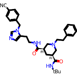 CC(C)(C)NC(=O)[C@H]1C[C@@H](C(=O)NCCc2cncn2Cc2ccc(C#N)cc2)CN(CCc2ccccc2)C1